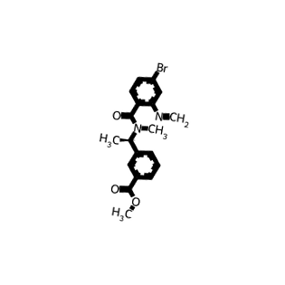 C=Nc1cc(Br)ccc1C(=O)N(C)[C@H](C)c1cccc(C(=O)OC)c1